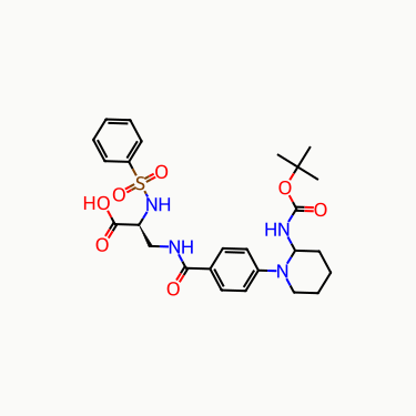 CC(C)(C)OC(=O)NC1CCCCN1c1ccc(C(=O)NC[C@H](NS(=O)(=O)c2ccccc2)C(=O)O)cc1